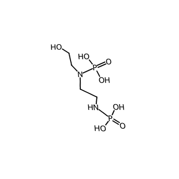 O=P(O)(O)NCCN(CCO)P(=O)(O)O